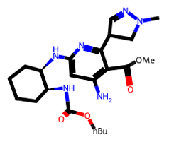 CCCCOC(=O)N[C@H]1CCCC[C@H]1Nc1cc(N)c(C(=O)OC)c(C2C=NN(C)C2)n1